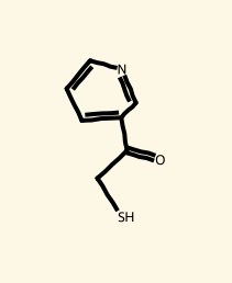 O=C(CS)c1cccnc1